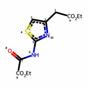 CCOC(=O)Cc1csc(NC(=O)C(=O)OCC)n1